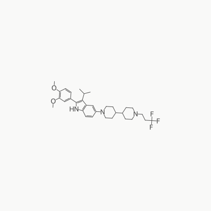 COc1ccc(-c2[nH]c3ccc(N4CCC(C5CCN(CCC(F)(F)F)CC5)CC4)cc3c2C(C)C)cc1OC